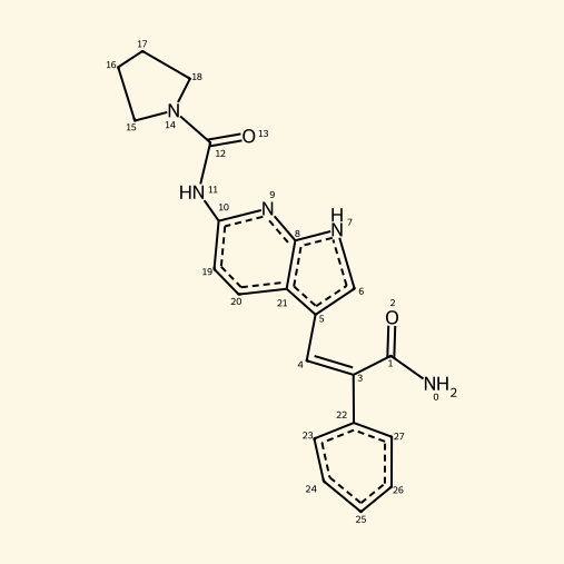 NC(=O)/C(=C\c1c[nH]c2nc(NC(=O)N3CCCC3)ccc12)c1ccccc1